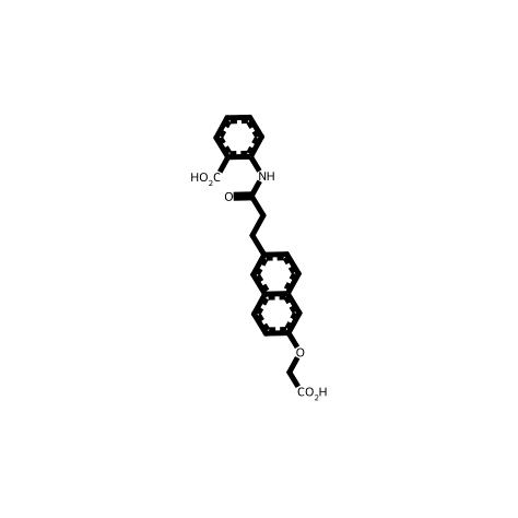 O=C(O)COc1ccc2cc(CCC(=O)Nc3ccccc3C(=O)O)ccc2c1